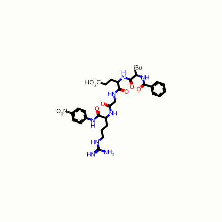 CCC(C)C(NC(=O)c1ccccc1)C(=O)NC(CCC(=O)O)C(=O)NCC(=O)NC(CCCNC(=N)N)C(=O)Nc1ccc([N+](=O)[O-])cc1